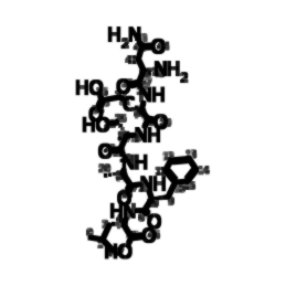 CC(C)C[C@H](NC(=O)[C@H](Cc1ccccc1)NC(=O)[C@H](C)NC(=O)[C@H](CO)NC(=O)[C@H](CCC(=O)O)NC(=O)[C@@H](N)CC(N)=O)C(=O)O